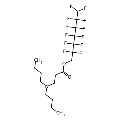 CCCCN(CCCC)CCC(=O)OCC(F)(F)C(F)(F)C(F)(F)C(F)(F)C(F)(F)C(F)F